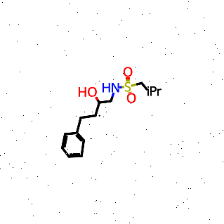 CC(C)CS(=O)(=O)NCC(O)[CH]Cc1ccccc1